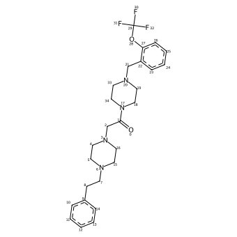 O=C(CN1CCN(CCc2ccccc2)CC1)N1CCN(Cc2ccccc2OC(F)(F)F)CC1